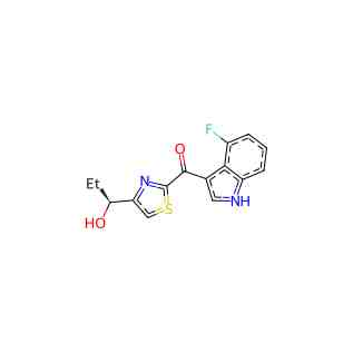 CC[C@H](O)c1csc(C(=O)c2c[nH]c3cccc(F)c23)n1